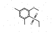 CCS(=O)(=O)c1c(C)cc(C)cc1OC